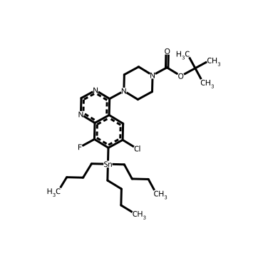 CCC[CH2][Sn]([CH2]CCC)([CH2]CCC)[c]1c(Cl)cc2c(N3CCN(C(=O)OC(C)(C)C)CC3)ncnc2c1F